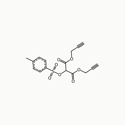 C#CCOC(=O)C(OS(=O)(=O)c1ccc(C)cc1)C(=O)OCC#C